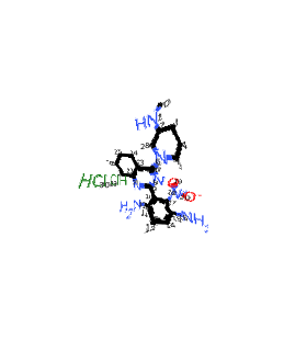 CNC1CCCN(c2nc(-c3c(N)ccc(N)c3[N+](=O)[O-])nc3c2CCCC3)C1.Cl.Cl